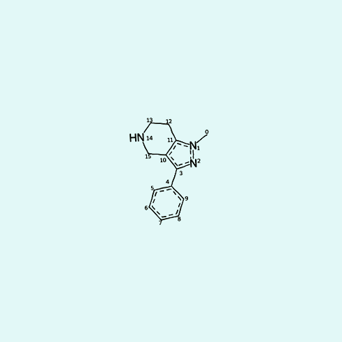 Cn1nc(-c2ccccc2)c2c1CCNC2